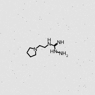 N=C(NN)NCCN1CCCC1